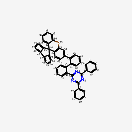 c1ccc(-c2nc(-c3ccccc3)nc(-c3ccccc3-c3ccccc3-c3ccc4c(c3)Sc3ccccc3C43c4ccccc4-c4ccccc43)n2)cc1